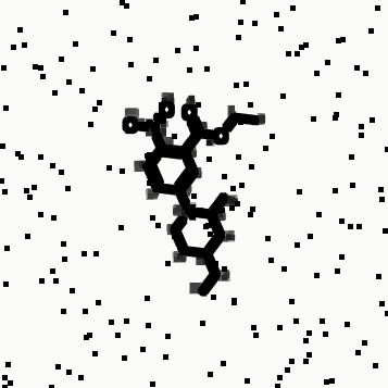 CCOC(=O)c1cc(N2CCC(CC)CC2C)ccc1[N+](=O)[O-]